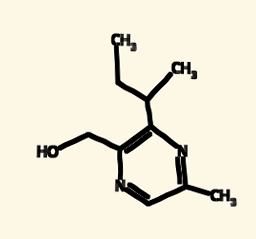 CCC(C)c1nc(C)cnc1CO